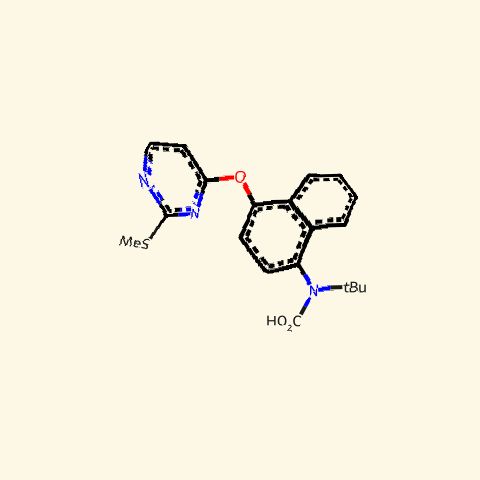 CSc1nccc(Oc2ccc(N(C(=O)O)C(C)(C)C)c3ccccc23)n1